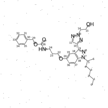 CCCCCC(C)n1nc(-c2cnn(CCO)n2)c2cc(OCCCNC(=O)OCc3ccccc3)ccc21